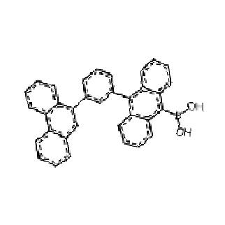 OB(O)c1c2ccccc2c(-c2cccc(-c3cc4ccccc4c4ccccc34)c2)c2ccccc12